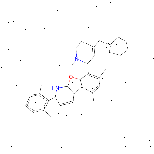 CC1=CC(C)=C(C2C=C(CC3CCCCC3)CCN2C)C2OC3NC(c4c(C)cccc4C)C=CC3C12